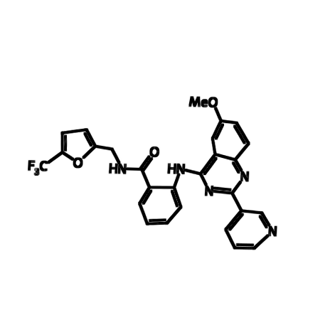 COc1ccc2nc(-c3cccnc3)nc(Nc3ccccc3C(=O)NCc3ccc(C(F)(F)F)o3)c2c1